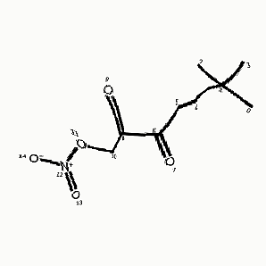 CC(C)(C)CCC(=O)C(=O)CO[N+](=O)[O-]